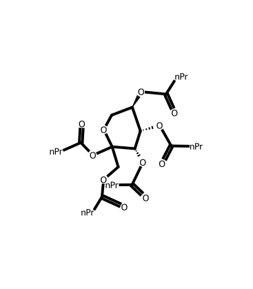 CCCC(=O)OCC1(OC(=O)CCC)OC[C@@H](OC(=O)CCC)[C@H](OC(=O)CCC)[C@@H]1OC(=O)CCC